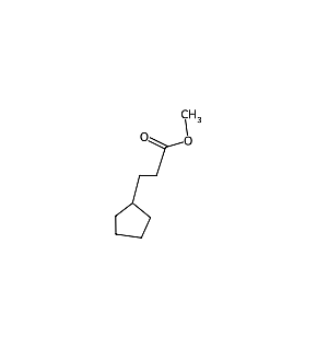 COC(=O)CCC1CCCC1